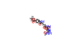 CC(=O)Nc1nnc(S(=O)(=O)NC(=O)CCCC(=O)Nc2ccc(C(=O)OC(C)(C)C)cc2)s1